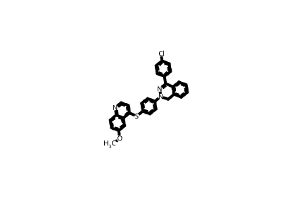 COc1ccc2nccc(Sc3ccc(N4Cc5ccccc5C(c5ccc(Cl)cc5)=N4)cc3)c2c1